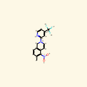 Cc1ccc2c(c1[N+](=O)[O-])C=CN(c1cc(C(F)(F)F)ccn1)C2